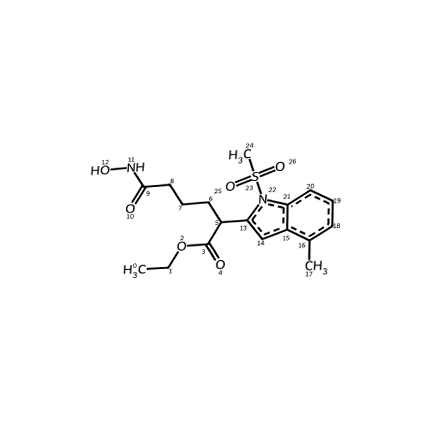 CCOC(=O)C(CCCC(=O)NO)c1cc2c(C)cccc2n1S(C)(=O)=O